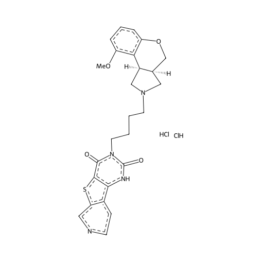 COc1cccc2c1[C@@H]1CN(CCCCn3c(=O)[nH]c4c(sc5cnccc54)c3=O)C[C@@H]1CO2.Cl.Cl